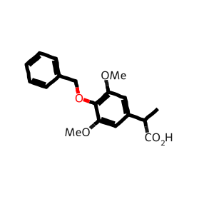 COc1cc(C(C)C(=O)O)cc(OC)c1OCc1ccccc1